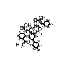 CC(=O)c1cccc(N(C(=O)O)C(CCNC(=O)N(C(C)=O)c2ccccc2)N2CCC(c3ccc(F)cc3)CC2C)c1